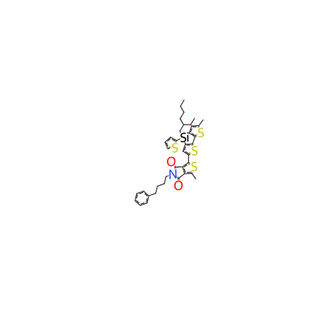 CCCCC(CC)C[Si]1(c2cccs2)c2cc(C)sc2-c2sc(-c3sc(C)c4c3C(=O)N(CCCCc3ccccc3)C4=O)cc21